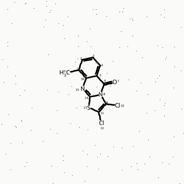 Cc1cccc2c(=O)n3c(Cl)c(Cl)sc3nc12